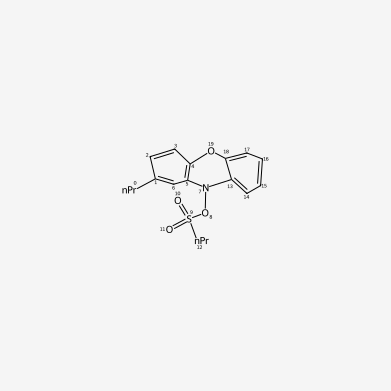 CCCc1ccc2c(c1)N(OS(=O)(=O)CCC)c1ccccc1O2